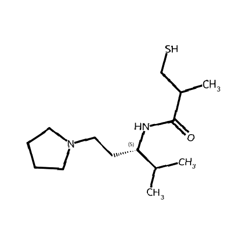 CC(CS)C(=O)N[C@@H](CCN1CCCC1)C(C)C